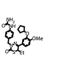 CCC1SC(=O)N(Cc2ccc(NC(N)=O)cc2)N=C1c1ccc(OC)c(OC2CCCC2)c1